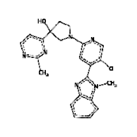 Cc1nccc(C2(O)CCN(c3cc(-c4nc5ccccc5n4C)c(Cl)cn3)C2)n1